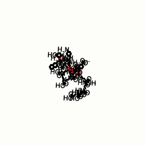 CN(C(=O)[C@@H](Cc1ccc(O)cc1)NC(=O)[C@H](Cc1ccc(N)cc1)NC(=O)CCC(C(=O)O)N1CCN(CC(=O)O)CCN(CC(=O)O)CCN(CC(=O)O)CC1)[C@H](Cc1ccc2ccccc2c1)C(=O)N[C@H](CCCCNC(=O)[C@@H](CC(=O)NCCC[C@H](NC(=O)CC[C@H](NC(=O)N[C@@H](CCC(=O)O)C(=O)O)C(=O)O)C(=O)O)NC(=O)c1ccc([N+](=O)[O-])cc1[N+](=O)[O-])C(=O)O